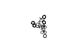 CC(OC(=O)OC1CCCCC1)OC(=O)c1ccc(-c2ccccc2C(C)OC[C@@H](O)CNC(C)(C)Cc2ccc3ccccc3c2)cc1